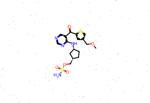 COCc1csc(C(=O)c2cncnc2N[C@H]2CC[C@@H](COS(N)(=O)=O)C2)c1